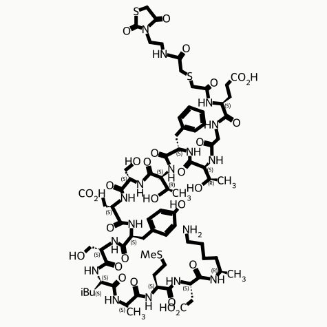 CC[C@H](C)[C@H](NC(=O)[C@H](CO)NC(=O)[C@H](Cc1ccc(O)cc1)NC(=O)[C@H](CC(=O)O)NC(=O)[C@H](CO)NC(=O)[C@@H](NC(=O)[C@H](Cc1ccccc1)NC(=O)[C@@H](NC(=O)CNC(=O)[C@H](CCC(=O)O)NC(=O)CSCC(=O)NCCN1C(=O)CSC1=O)[C@@H](C)O)[C@@H](C)O)C(=O)N[C@@H](C)C(=O)N[C@@H](CCSC)C(=O)N[C@@H](CC(=O)O)C(=O)N[C@H](C)CCCCN